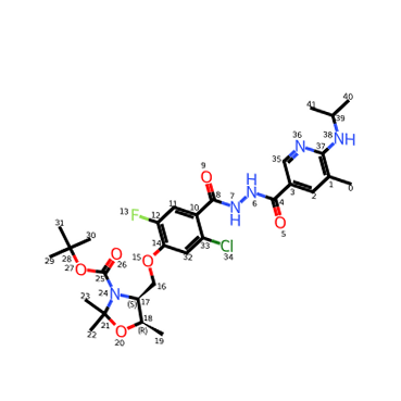 Cc1cc(C(=O)NNC(=O)c2cc(F)c(OC[C@H]3[C@@H](C)OC(C)(C)N3C(=O)OC(C)(C)C)cc2Cl)cnc1NC(C)C